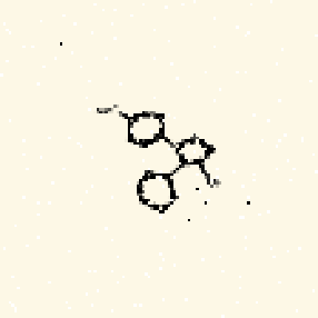 COc1ccc(-n2ncc(O)c2-c2ccccc2)cc1